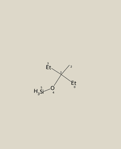 CCC(C)(CC)O[SiH3]